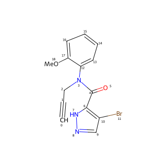 C#CCN(C(=O)c1[nH]ncc1Br)c1ccccc1OC